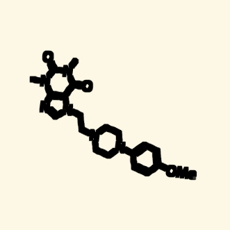 COc1ccc(N2CCN(CCn3cnc4c3c(=O)n(C)c(=O)n4C)CC2)cc1